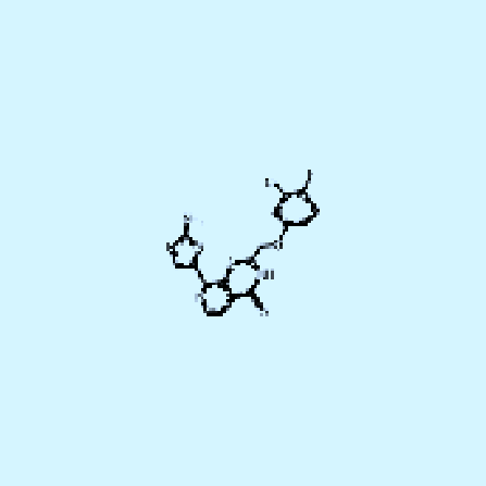 Nc1ncc(-c2nccc3c(=O)[nH]c(COc4ccc(F)c(Cl)c4)nc23)s1